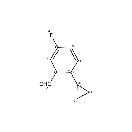 O=Cc1cc(F)ccc1C1CC1